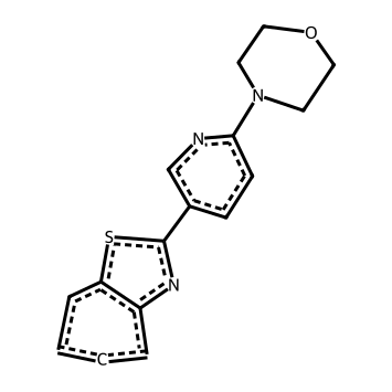 c1ccc2sc(-c3ccc(N4CCOCC4)nc3)nc2c1